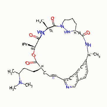 CC(C)[C@@H]1OC(=O)[C@H](CCC(C)N(C)C)C/C=C/c2cc3cc(ccc3cn2)[C@@H](C)NC(=O)[C@@H]2CCCN(N2)C(=O)[C@H](C)NC1=O